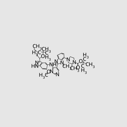 CCCCC(OC(C)(C)C)c1n[nH]c2cc(OC)c(Nc3ncncc3-c3nc4cccc(N5CCN(C(=O)OC(C)(C)C)[C@@H](C)C5)c4n3C)cc12